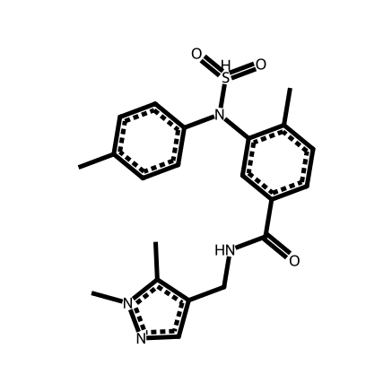 Cc1ccc(N(c2cc(C(=O)NCc3cnn(C)c3C)ccc2C)[SH](=O)=O)cc1